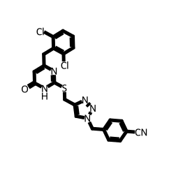 N#Cc1ccc(Cn2cc(CSc3nc(Cc4c(Cl)cccc4Cl)cc(=O)[nH]3)nn2)cc1